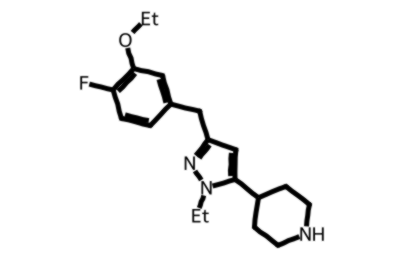 CCOc1cc(Cc2cc(C3CCNCC3)n(CC)n2)ccc1F